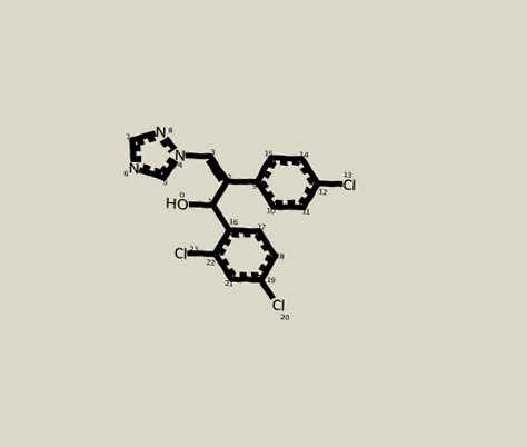 OC(C(=Cn1cncn1)c1ccc(Cl)cc1)c1ccc(Cl)cc1Cl